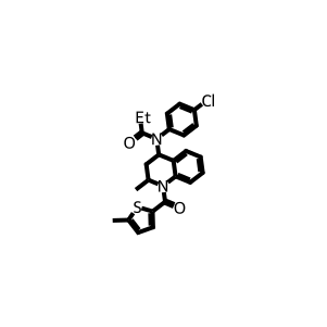 CCC(=O)N(c1ccc(Cl)cc1)C1CC(C)N(C(=O)c2ccc(C)s2)c2ccccc21